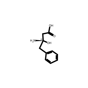 N[C@](O)(CC(=O)O)Cc1ccccc1